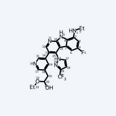 CCNc1cc(F)cc2c1[nH]c1ncc(-c3cncc(CC(O)OCC)c3)c(-n3ccc(C(F)(F)F)n3)c12